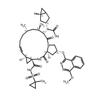 COc1nnc(O[C@@H]2C[C@H]3C(=O)N[C@]4(C(=O)NS(=O)(=O)C5(C)CC5)C[C@H]4/C=C\CC[C@H](C)C[C@@H](C)[C@H](N(C(=O)O)[C@H]4CC5C[C@H]5C4)C(=O)N3C2)c2ccccc12